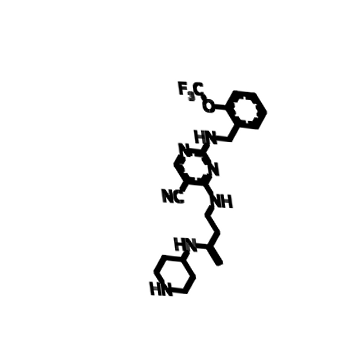 C=C(CCNc1nc(NCc2ccccc2OC(F)(F)F)ncc1C#N)NC1CCNCC1